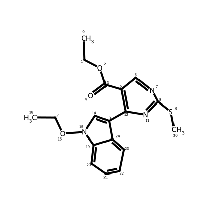 CCOC(=O)c1cnc(SC)nc1-c1cn(OCC)c2ccccc12